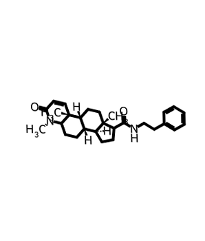 CN1C(=O)C=C[C@@]2(C)C1CC[C@@H]1[C@H]2CC[C@]2(C)C(C(=O)NCCc3ccccc3)CC[C@@H]12